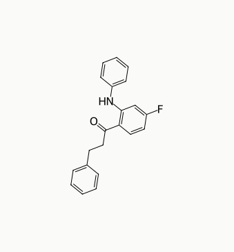 O=C(CCc1ccccc1)c1ccc(F)cc1Nc1ccccc1